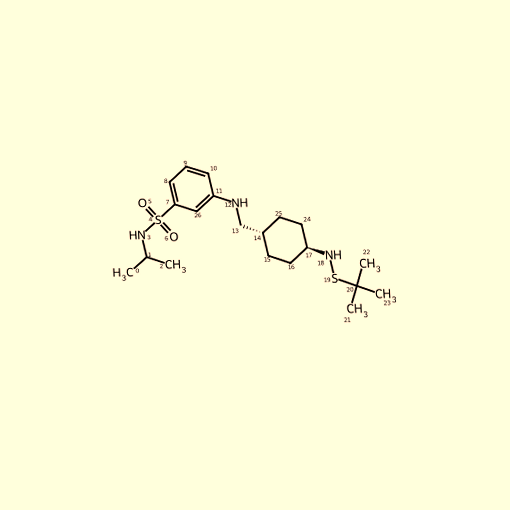 CC(C)NS(=O)(=O)c1cccc(NC[C@H]2CC[C@H](NSC(C)(C)C)CC2)c1